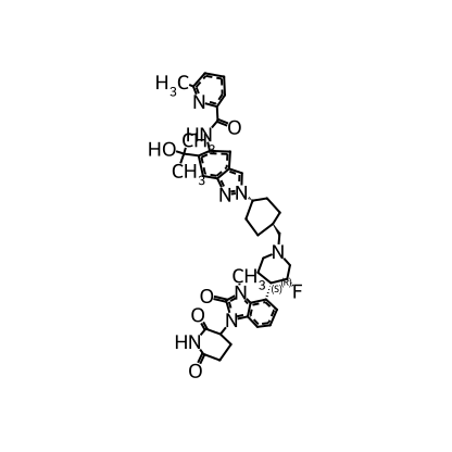 Cc1cccc(C(=O)Nc2cc3cn([C@H]4CC[C@H](CN5CC[C@@H](c6cccc7c6n(C)c(=O)n7C6CCC(=O)NC6=O)[C@@H](F)C5)CC4)nc3cc2C(C)(C)O)n1